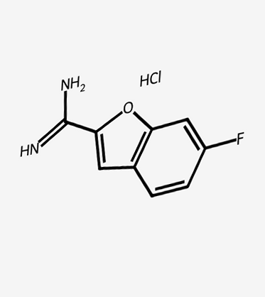 Cl.N=C(N)c1cc2ccc(F)cc2o1